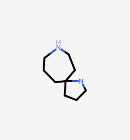 C1C[N]C2(C1)CCCNCC2